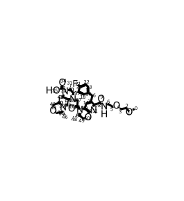 COCCOCCNC(=O)c1nc2c(cc1Cc1ccc(F)cc1)N(C(=O)CN1C[C@@H](C)N(C(=O)O)C[C@@H]1CN1[C@H](C)COC[C@H]1C)[C@@H](C)CO2